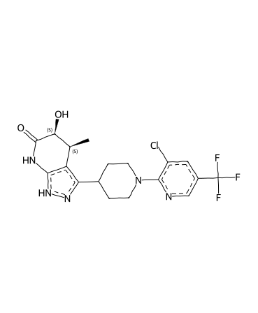 C[C@H]1c2c(C3CCN(c4ncc(C(F)(F)F)cc4Cl)CC3)n[nH]c2NC(=O)[C@H]1O